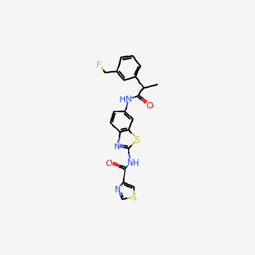 CC(C(=O)Nc1ccc2nc(NC(=O)c3cscn3)sc2c1)c1cccc(CF)c1